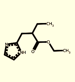 CCOC(=O)C(CC)Cc1ncc[nH]1